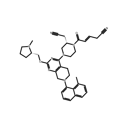 Cc1cccc2cccc(N3CCc4c(nc(OC[C@@H]5CCCN5C)nc4N4CCN(C(=O)/C=C/CC#N)[C@@H](CC#N)C4)C3)c12